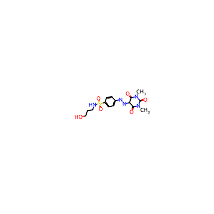 CN1C(=O)C(N=Nc2ccc(S(=O)(=O)NCCCO)cc2)C(=O)N(C)C1=O